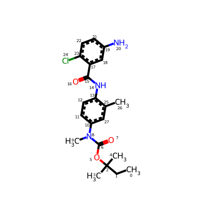 CCC(C)(C)OC(=O)N(C)c1ccc(NC(=O)c2cc(N)ccc2Cl)c(C)c1